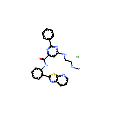 CC(C)NCCNc1cc(C(=O)Nc2ccccc2-c2nc3cccnc3s2)nc(-c2ccccc2)n1.Cl